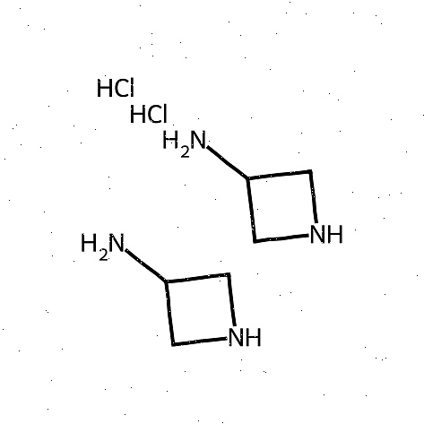 Cl.Cl.NC1CNC1.NC1CNC1